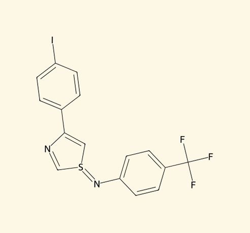 FC(F)(F)c1ccc(N=S2C=NC(c3ccc(I)cc3)=C2)cc1